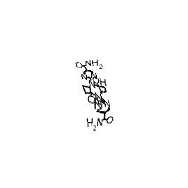 NC(=O)c1cnc(N2C3CCC3(O)N(c3ncc(C(N)=O)cn3)C3CCC32O)nc1